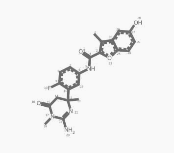 Cc1c(C(=O)Nc2ccc(F)c(C3(C)CC(=O)N(C)C(N)=N3)c2)oc2ccc(O)cc12